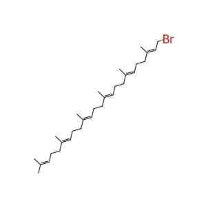 CC(C)=CCC/C(C)=C/CC/C(C)=C/CC/C(C)=C/CC/C(C)=C/CC/C(C)=C/CBr